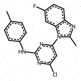 Cc1ccc(Nc2nc(Cl)cc(-n3c(C)nc4ccc(F)cc43)n2)cc1